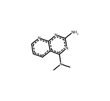 CN(C)c1nc(N)nc2ncccc12